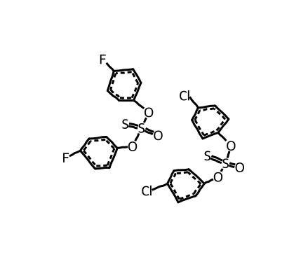 O=S(=S)(Oc1ccc(Cl)cc1)Oc1ccc(Cl)cc1.O=S(=S)(Oc1ccc(F)cc1)Oc1ccc(F)cc1